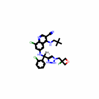 BC(Nc1cc(Cl)c2ncc(C#N)c(NCC(C)(C)C)c2c1)(C1=CN(CC2(F)COC2)NN1)c1ccccc1Cl